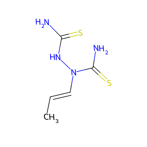 CC=CN(NC(N)=S)C(N)=S